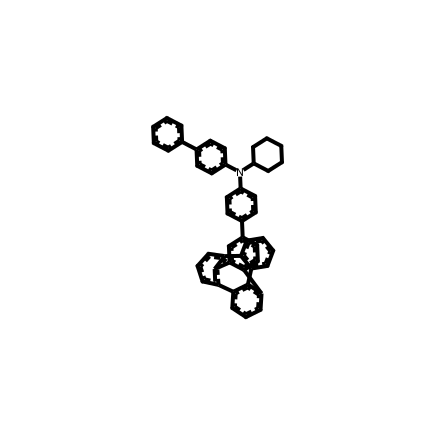 c1ccc(-c2ccc(N(c3ccc(-c4ccc5c(c4)-c4c6cccc4-c4cccc-5c4-c4ccccc4-6)cc3)C3CCCCC3)cc2)cc1